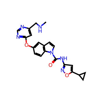 CNCc1cc(Oc2ccc3c(ccn3C(=O)Nc3cc(C4CC4)on3)c2)ncn1